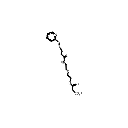 O=C(O)CC(=O)OCCOCCNC(=O)CCSSc1ccccn1